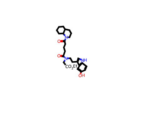 CCOC(=O)CN(CCc1c[nH]c2ccc(O)cc12)C(=O)CCCC(=O)N1CCCC2CCCCC21